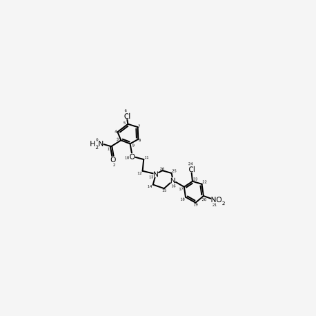 NC(=O)c1cc(Cl)ccc1OCCN1CCN(c2ccc([N+](=O)[O-])cc2Cl)CC1